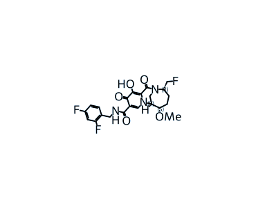 CO[C@H]1CC[C@H](CF)N2C[C@H]1n1cc(C(=O)NCc3ccc(F)cc3F)c(=O)c(O)c1C2=O